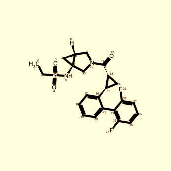 CCS(=O)(=O)N[C@@]12C[C@@H]1CN(C(=O)[C@@H]1C[C@H]1c1ccccc1-c1c(F)cccc1F)C2